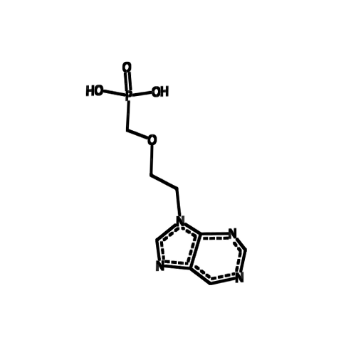 O=P(O)(O)COCCn1cnc2cncnc21